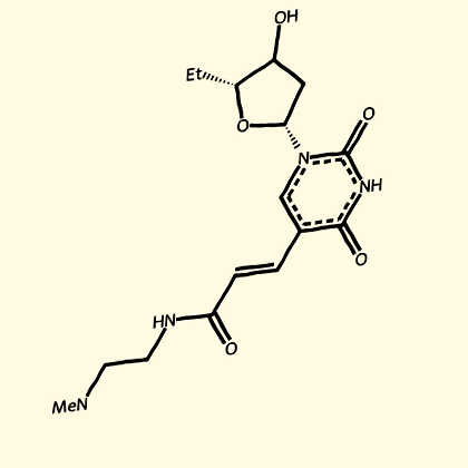 CC[C@H]1O[C@@H](n2cc(/C=C/C(=O)NCCNC)c(=O)[nH]c2=O)CC1O